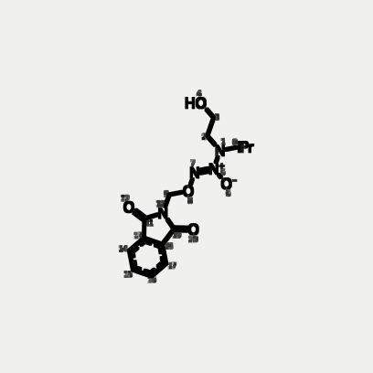 CC(C)N(CCO)[N+]([O-])=NOCN1C(=O)c2ccccc2C1=O